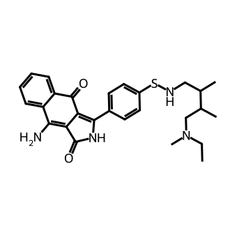 CCN(C)CC(C)C(C)CNSc1ccc(C2=C3C(=O)c4ccccc4C(N)=C3C(=O)N2)cc1